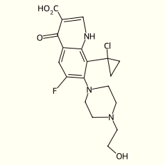 O=C(O)c1c[nH]c2c(C3(Cl)CC3)c(N3CCN(CCO)CC3)c(F)cc2c1=O